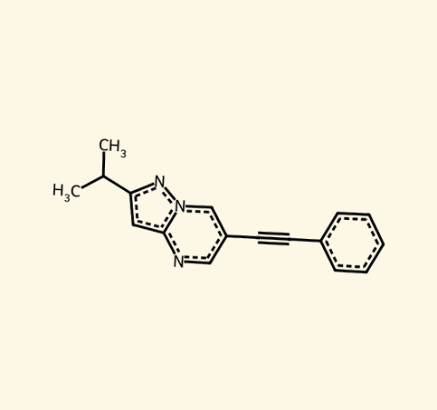 CC(C)c1cc2ncc(C#Cc3ccccc3)cn2n1